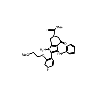 CNC(=O)N1CC(=O)c2c(Nc3ccccc3)c(C3=C(OCCOC)CNC=C3)n(N)c2C1